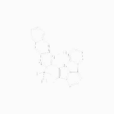 Cc1c(-c2c(C(F)(F)F)nc3cc4ccccc4cc3[n+]2C)n2c3ccccc3c3cccc1c32